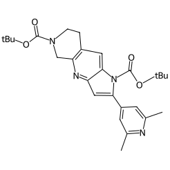 Cc1cc(-c2cc3nc4c(cc3n2C(=O)OC(C)(C)C)CCN(C(=O)OC(C)(C)C)C4)cc(C)n1